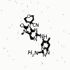 Cc1cc2nnc(N)n2cc1Nc1ncc2c(n1)n(C1(C#N)CCOCC1)c(=O)n2C